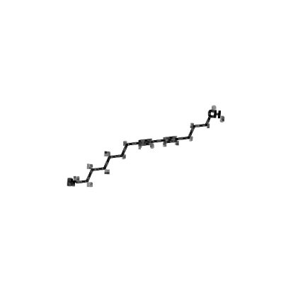 CCCCC#CC#CCCCCCCBr